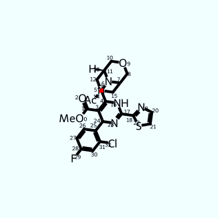 COC(=O)C1=C(CN2C3COC[C@H]2CN(C(C)=O)C3)NC(c2nccs2)=NC1c1ccc(F)cc1Cl